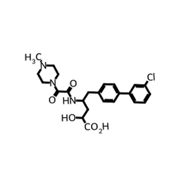 CN1CCN(C(=O)C(=O)NC(Cc2ccc(-c3cccc(Cl)c3)cc2)CC(O)C(=O)O)CC1